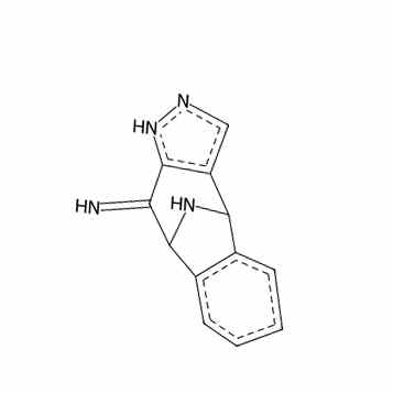 N=C1c2[nH]ncc2C2NC1c1ccccc12